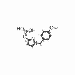 COc1ccc(Cn2ccc(OB(O)O)n2)cc1